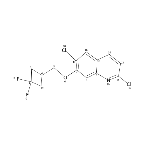 FC1(F)CC(COc2cc3nc(Cl)ccc3cc2Cl)C1